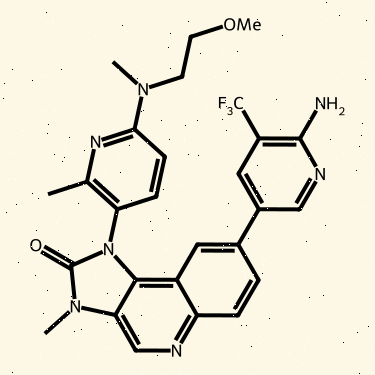 COCCN(C)c1ccc(-n2c(=O)n(C)c3cnc4ccc(-c5cnc(N)c(C(F)(F)F)c5)cc4c32)c(C)n1